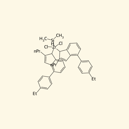 CCCC1=Cc2c(-c3ccc(CC)cc3)cccc2[CH]1[Zr]([Cl])([Cl])([CH]1C(CCC)=Cc2c(-c3ccc(CC)cc3)cccc21)[SiH](C)C